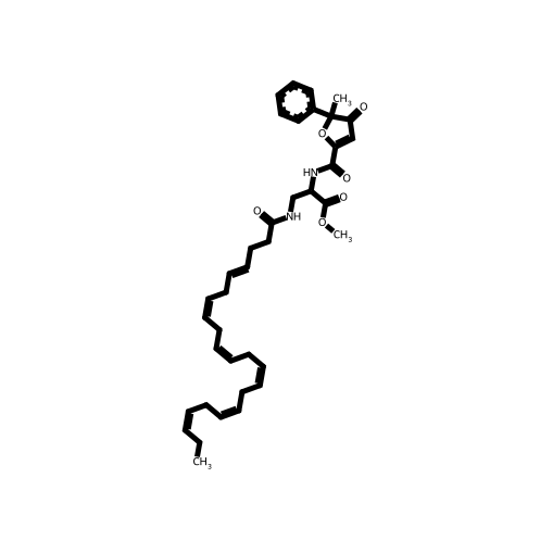 CC/C=C\C/C=C\C/C=C\C/C=C\C/C=C\CC=CCCC(=O)NCC(NC(=O)C1=CC(=O)C(C)(c2ccccc2)O1)C(=O)OC